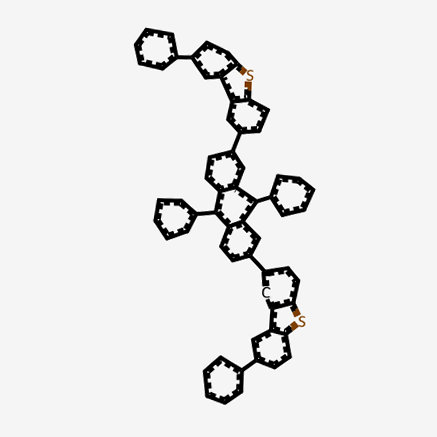 c1ccc(-c2ccc3sc4ccc(-c5ccc6c(-c7ccccc7)c7ccc(-c8ccc9sc%10ccc(-c%11ccccc%11)cc%10c9c8)cc7c(-c7ccccc7)c6c5)cc4c3c2)cc1